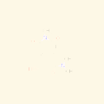 CN(C)C(=O)C1C(CO)C2=C3C(=O)N(C)C(=O)[C@H]3C1C=C2